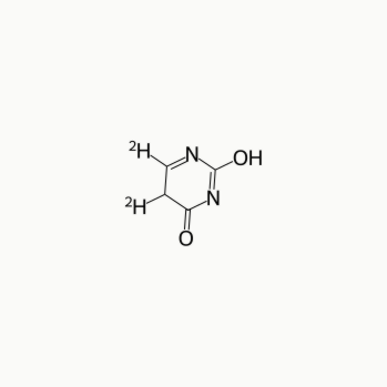 [2H]C1=NC(O)=NC(=O)C1[2H]